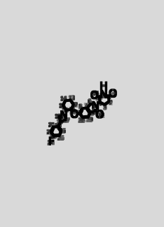 O=C1CC[C@H](N2Cc3cc(O[C@@H]4CCCC[C@@H]4N4CC(c5ccc(F)cc5)C4)ccc3C2=O)C(=O)N1